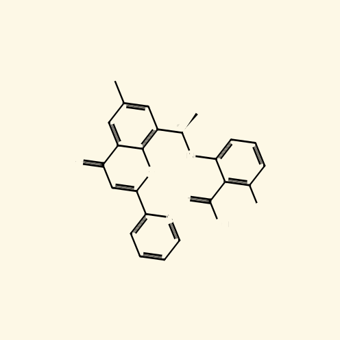 Cc1cc([C@@H](C)Nc2cccc(F)c2C(=O)O)c2oc(-c3ccccn3)cc(=O)c2c1